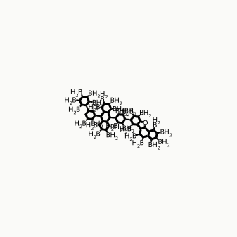 Bc1cc(-c2c(B)c(B)c(B)c(B)c2B)c(B)c(-c2c3c(B)c(B)c(B)c(B)c3c(-c3c(B)c(B)c(-c4c(B)c(B)c5oc6c7c(B)c(B)c(B)c(B)c7c(B)c(B)c6c5c4B)c(B)c3B)c3c(B)c(B)c(B)c(B)c23)c1B